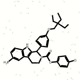 Bc1ccc2[nH]c3c(c2c1)CCN(C(=O)Oc1ccc(Cl)cc1)C3c1ccc(OCC(CC)(CC)CC)cc1